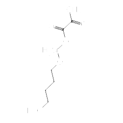 C=C(C)C(=O)O[SiH2]OCCCCC